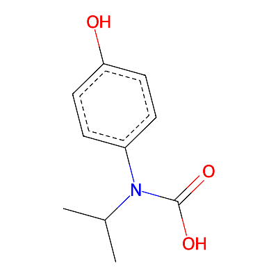 CC(C)N(C(=O)O)c1ccc(O)cc1